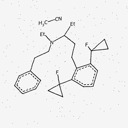 CC#N.CCC(CCc1c(C2(F)CC2)cccc1C1(F)CC1)N(CC)CCc1ccccc1